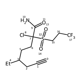 C#CCC(CC)CCC(Cl)(C(N)=O)S(=O)(=O)CCC(F)(F)F